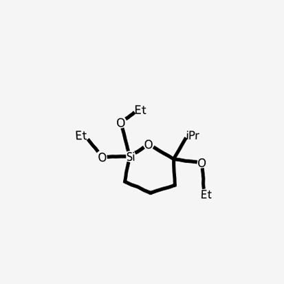 CCOC1(C(C)C)CCC[Si](OCC)(OCC)O1